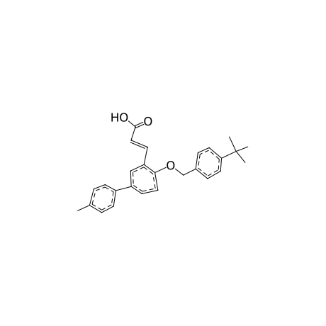 Cc1ccc(-c2ccc(OCc3ccc(C(C)(C)C)cc3)c(C=CC(=O)O)c2)cc1